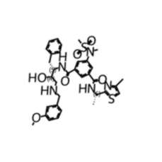 COc1cccc(CNC[C@@H](O)[C@H](Cc2ccccc2)NC(=O)c2cc(C(=O)N[C@@H](C)c3nc(C)cs3)cc(N(C)S(C)(=O)=O)c2)c1